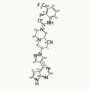 N#CCC(CN1CCN(C(=O)Nc2cccc(C(F)(F)F)c2F)CC1)n1cc(-c2ncnc3[nH]ccc23)cn1